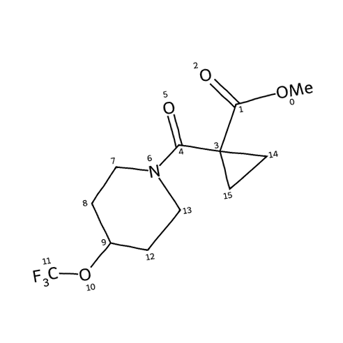 COC(=O)C1(C(=O)N2CCC(OC(F)(F)F)CC2)CC1